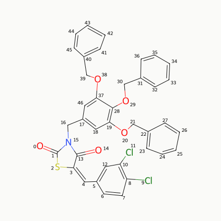 O=C1SC(=Cc2ccc(Cl)c(Cl)c2)C(=O)N1Cc1cc(OCc2ccccc2)c(OCc2ccccc2)c(OCc2ccccc2)c1